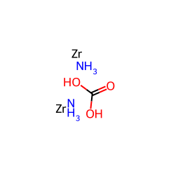 N.N.O=C(O)O.[Zr].[Zr]